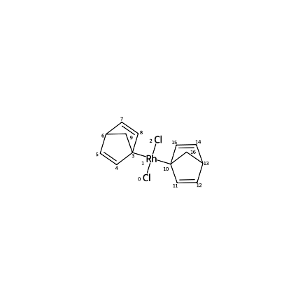 [Cl][Rh]([Cl])([C]12C=CC(C=C1)C2)[C]12C=CC(C=C1)C2